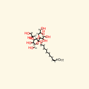 CCCCCCCC/C=C\CCCCCCCCOC1(CC(O)CO)O[C@H](CO)[C@@H](O)[C@H](O)[C@@]1(CC(O)CO)OCC(O)CO